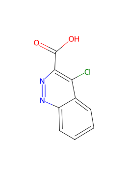 O=C(O)c1nnc2ccccc2c1Cl